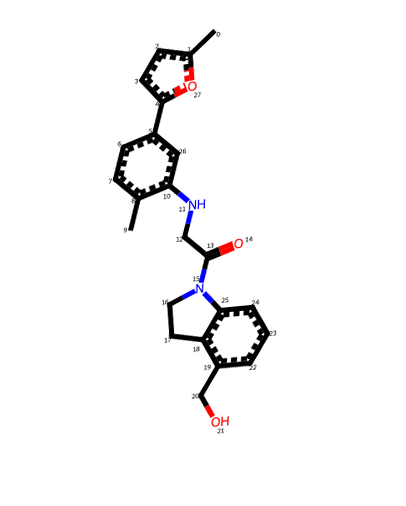 Cc1ccc(-c2ccc(C)c(NCC(=O)N3CCc4c(CO)cccc43)c2)o1